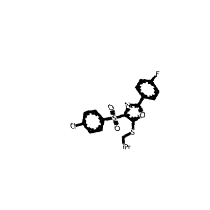 CC(C)CSc1oc(-c2ccc(F)cc2)nc1S(=O)(=O)c1ccc(Cl)cc1